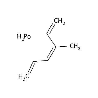 C=CC=C(C)C=C.[PoH2]